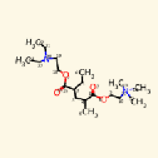 CCC(CC(C)C(=O)OCC[N+](C)(C)C)C(=O)OCCN(CC)CC